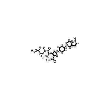 CC1CCC(C(=O)N(c2cc(-c3ccc(-c4ccc5[nH]ccc5c4)cc3)sc2C(=O)O)C(C)C)CC1